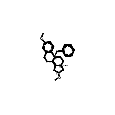 COc1ccc2c(c1)CCC1=C3C[C@H](OC)C[C@]3(C)CC[C@]12Cc1ccccc1